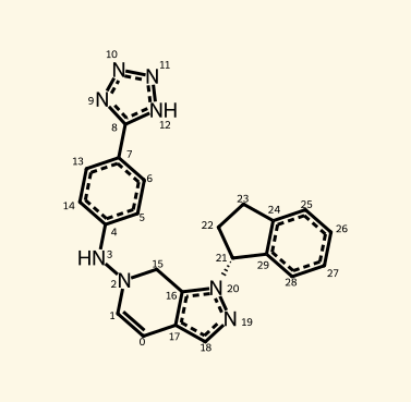 C1=CN(Nc2ccc(-c3nnn[nH]3)cc2)Cc2c1cnn2[C@@H]1CCc2ccccc21